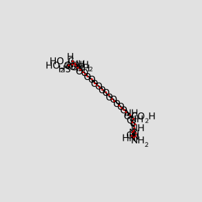 Nc1nc2ncc(CNc3ccc(C(=O)N[C@H](CCC(=O)NCCOCCOCCOCCOCCOCCOCCOCCOCCOCCOCCOCCOCCC(=O)NC[C@H](N)C(=O)N[C@@H](CC(=O)O)C(=O)N[C@@H](CS)C(=O)O)C(=O)O)cc3)nc2c(=O)[nH]1